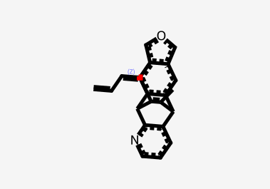 C=C/C=C\C1=C(C)C2c3cc4cocc4cc3C1c1ncccc12